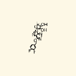 C[C@H]1O[C@@H](n2cnc3c(OCc4ccc(F)c(F)c4)ncnc32)[C@H](O)[C@@H]1O